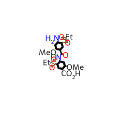 CCS(=O)(=O)c1cc(C(=O)Nc2cc(OC)c(C(=O)O)cc2S(=O)(=O)CC)c(OC)cc1N